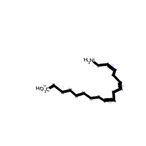 NC/C=C\C/C=C\C/C=C\CCCCCCCC(=O)O